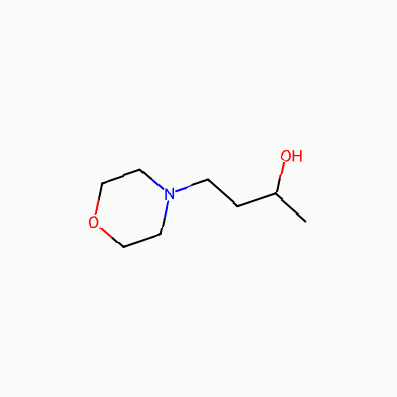 CC(O)CCN1CCOCC1